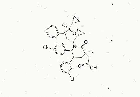 C[C@]1(CC(=O)O)CC(c2cccc(Cl)c2)[C@@H](c2ccc(Cl)cc2)N([C@H](CN(c2ccccc2)S(=O)(=O)C2CC2)C2CC2)C1=O